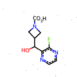 O=C(O)N1CC(C(O)c2nccnc2F)C1